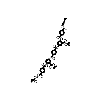 C#CC#COC(=O)C1CCC(C(=O)Oc2ccc(OC(=O)C3CCC(C(=O)Oc4ccc(OC(=O)C5CCC(C(=O)OCOC(=O)C=C)CC5)c(C(=O)OC(=C)C)c4)CC3)cc2C(=O)OC(=C)C)CC1